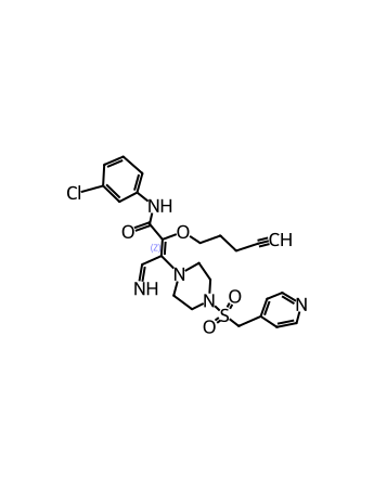 C#CCCCO/C(C(=O)Nc1cccc(Cl)c1)=C(/C=N)N1CCN(S(=O)(=O)Cc2ccncc2)CC1